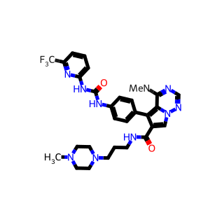 CNc1ncnn2cc(C(=O)NCCCN3CCN(C)CC3)c(-c3ccc(NC(=O)Nc4cccc(C(F)(F)F)n4)cc3)c12